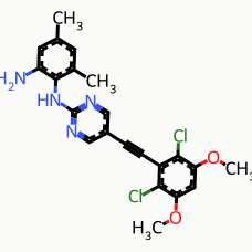 COc1cc(OC)c(Cl)c(C#Cc2cnc(Nc3c(C)cc(C)cc3N)nc2)c1Cl